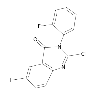 O=c1c2cc(I)ccc2nc(Cl)n1-c1ccccc1F